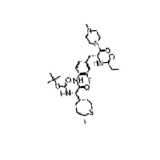 CCC(=O)N[C@H](Cc1ccc(NC(=O)[C@@H](NC(=O)OC(C)(C)C)[C@@H]2CCS[C@@H](C)CC2)c(F)c1)C(=O)N1CCN(C)CC1